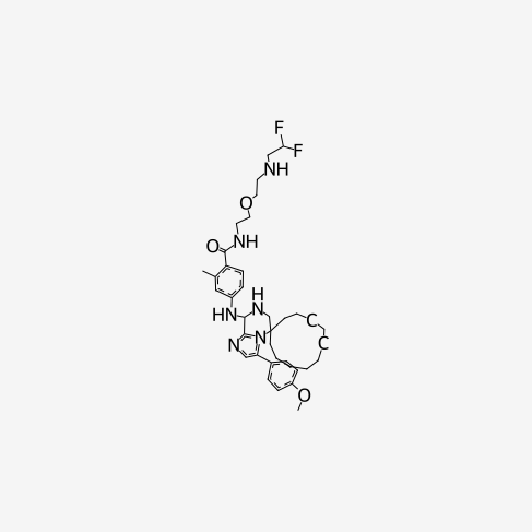 COc1ccc(-c2cnc3n2C2(CCCCCCCCCC2)CNC3Nc2ccc(C(=O)NCCOCCNCC(F)F)c(C)c2)cc1